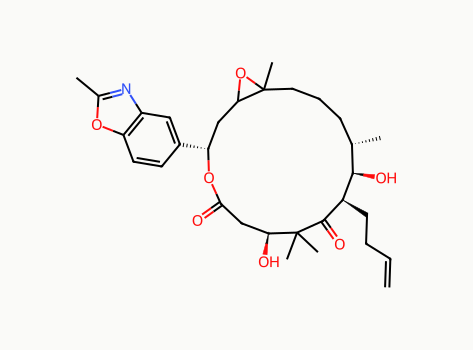 C=CCC[C@H]1C(=O)C(C)(C)[C@@H](O)CC(=O)O[C@H](c2ccc3oc(C)nc3c2)CC2OC2(C)CCC[C@H](C)[C@H]1O